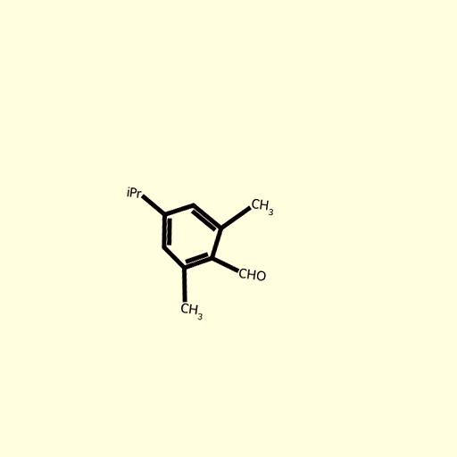 Cc1cc(C(C)C)cc(C)c1C=O